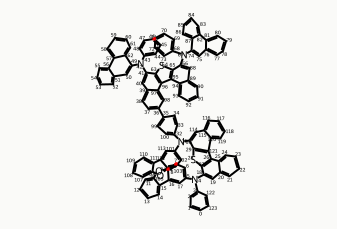 c1ccc(N(c2ccc3oc4ccccc4c3c2)c2cc3ccccc3c3c2sc2c(N(c4ccc(-c5ccc6cc(N(c7ccccc7)c7cc8ccccc8c8ccccc78)c7sc8c(N(c9ccccc9)c9cc%10ccccc%10c%10ccccc9%10)cc9ccccc9c8c7c6c5)cc4)c4ccc5oc6ccccc6c5c4)cc4ccccc4c23)cc1